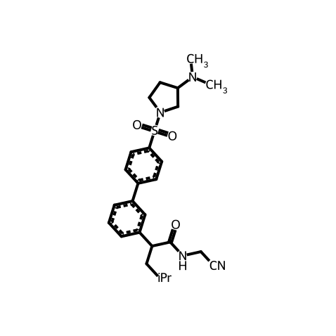 CC(C)CC(C(=O)NCC#N)c1cccc(-c2ccc(S(=O)(=O)N3CCC(N(C)C)C3)cc2)c1